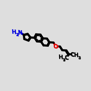 CC(C)=CCCOCC1CCc2cc(C3CCC(N)C3)ccc2C1